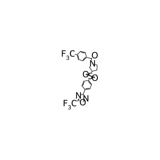 O=C(c1ccc(C(F)(F)F)cc1)N1CCC(S(=O)(=O)c2ccc(-c3noc(C(F)(F)F)n3)cc2)C1